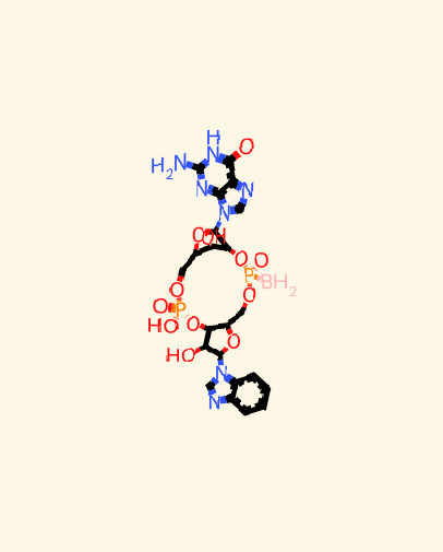 BP1(=O)OCC2OC(n3cnc4ccccc43)C(O)C2OP(=O)(O)OCC2OC(n3cnc4c(=O)[nH]c(N)nc43)C(O1)C2O